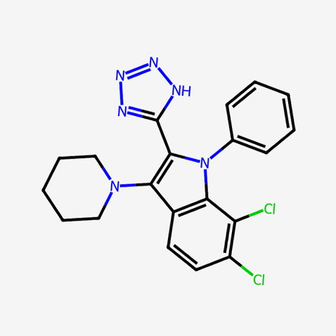 Clc1ccc2c(N3CCCCC3)c(-c3nnn[nH]3)n(-c3ccccc3)c2c1Cl